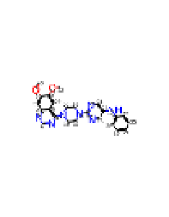 COc1cc2ncnc(N3CCN(c4ncc(Nc5ccccc5)cn4)CC3)c2cc1OC